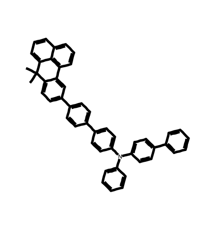 CC1(C)c2ccc(-c3ccc(-c4ccc(N(c5ccccc5)c5ccc(-c6ccccc6)cc5)cc4)cc3)cc2-c2cccc3cccc1c23